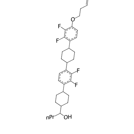 C=CCCOc1ccc(C2CCC(c3ccc(C4CCC(C(O)CCC)CC4)c(F)c3F)CC2)c(F)c1F